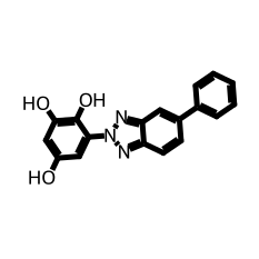 Oc1cc(O)c(O)c(-n2nc3ccc(-c4ccccc4)cc3n2)c1